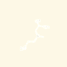 CC(=O)OCCN(C)CC(O)O